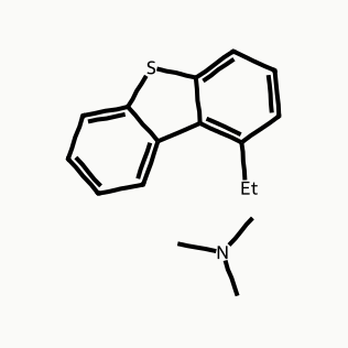 CCc1cccc2sc3ccccc3c12.CN(C)C